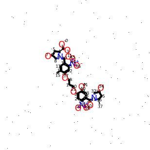 COC(=O)[C@@H]1CC(=O)CN1C(=O)c1cc(C)c(OCCCOc2cc([N+](=O)[O-])c(C(=O)N3CC(=O)C[C@H]3C)cc2OC)cc1[N+](=O)[O-]